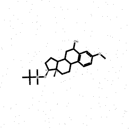 COc1ccc2c(c1)C(O)CC1C2CC[C@@]2(C)C1CC[C@@H]2O[Si](C)(C)C(C)(C)C